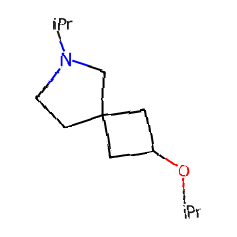 CC(C)OC1CC2(CCN(C(C)C)C2)C1